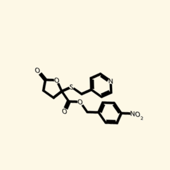 O=C1CCC(SCc2ccncc2)(C(=O)OCc2ccc([N+](=O)[O-])cc2)O1